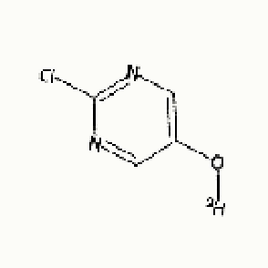 [2H]Oc1cnc(Cl)nc1